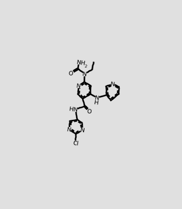 CCN(C(N)=O)c1cc(Nc2cccnc2)c(C(=O)Nc2cnc(Cl)nc2)cn1